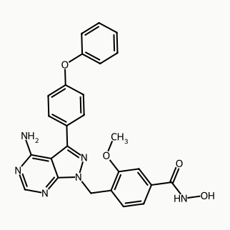 COc1cc(C(=O)NO)ccc1Cn1nc(-c2ccc(Oc3ccccc3)cc2)c2c(N)ncnc21